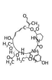 CC(=O)CC[C@H]1C(=O)N[C@@H](C(C)C)C(=O)N[C@@H](Cc2cccc(O)c2)C(=O)N2CCCC(N2)C(=O)O[C@H](/C(C)=C/C=O)C/C=C/C=C/[C@H](O)[C@H](C)[C@H]1O